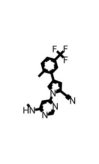 CNc1cc(-n2cc(-c3cc(C(F)(F)F)ccc3C)cc2C#N)ncn1